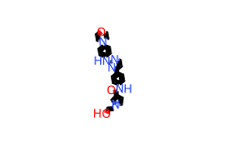 O=C(Nc1ccc(-c2ccnc(Nc3ccc(N4CCOCC4)cc3)n2)cc1)C1CCN(CCO)C1